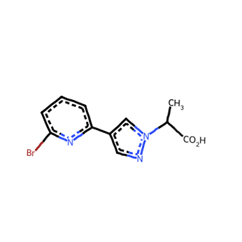 CC(C(=O)O)n1cc(-c2cccc(Br)n2)cn1